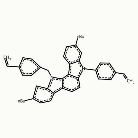 C=Cc1ccc(Cn2c3cc(CCCC)ccc3c3ccc4c(c5ccc(CCCC)cc5n4-c4ccc(C=C)cc4)c32)cc1